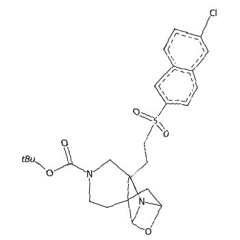 CC(C)(C)OC(=O)N1CCC2(CC1)CC1OC2N1CCCS(=O)(=O)c1ccc2cc(Cl)ccc2c1